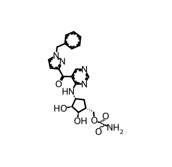 NS(=O)(=O)OC[C@H]1C[C@@H](Nc2ncncc2C(=O)c2ccn(Cc3ccccc3)n2)[C@H](O)[C@@H]1O